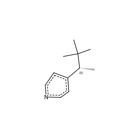 C[C@H](c1ccncc1)C(C)(C)C